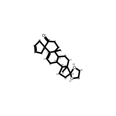 CC12CCC(=O)C3(CC=CC3)C1=CCC1C2CCC2(C)C1CCC21OCCO1